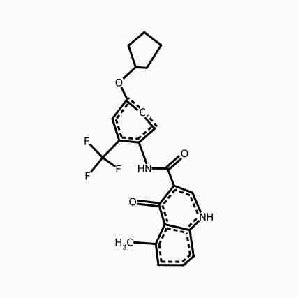 Cc1cccc2[nH]cc(C(=O)Nc3ccc(OC4CCCC4)cc3C(F)(F)F)c(=O)c12